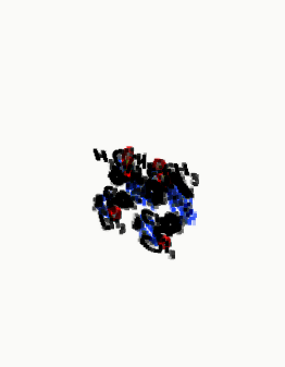 CN1CCN(C)C(c2ccc(Nc3ncc4ccc(-c5ccccc5N(C)S(C)(=O)=O)n4n3)cc2)C1=O.CN1CCN(C)C(c2ccc(Nc3ncc4ccc(-c5ccccc5N(C)S(C)(=O)=O)n4n3)cc2)C1=O